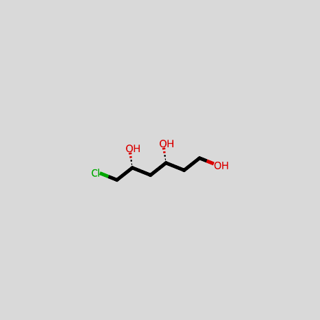 OCC[C@@H](O)C[C@@H](O)CCl